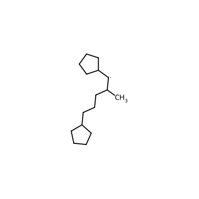 CC([CH]C1CCCC1)CCCC1CCCC1